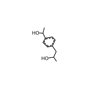 CC(O)Cc1ccc(C(C)O)cc1